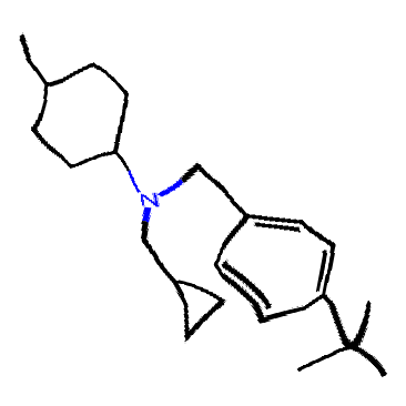 CC1CCC(N(Cc2ccc(C(C)(C)C)cc2)CC2CC2)CC1